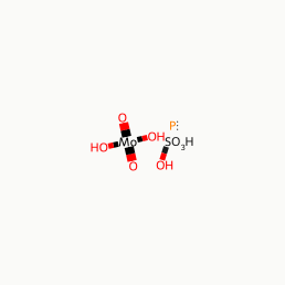 O=S(=O)(O)O.[O]=[Mo](=[O])([OH])[OH].[P]